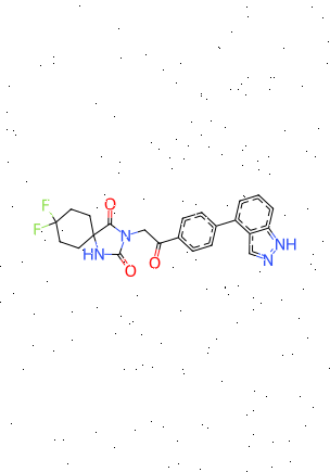 O=C(CN1C(=O)NC2(CCC(F)(F)CC2)C1=O)c1ccc(-c2cccc3[nH]ncc23)cc1